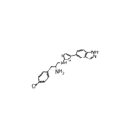 NC(CNc1ncc(-c2ccc3[nH]ncc3c2)s1)Cc1ccc(Cl)cc1